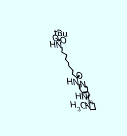 CN1CCC[C@@H]1c1cc2cnc(NC(=O)CCCCCCCCNC(=O)OC(C)(C)C)cc2[nH]1